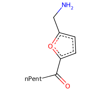 CCCCCC(=O)c1ccc(CN)o1